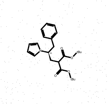 CC(C)(C)OC(=O)C(C[C@H](Cc1ccccc1)n1cccc1)C(=O)OC(C)(C)C